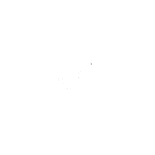 [Cl][Ir+3].[OH-].[OH-].[OH-]